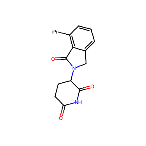 CC(C)c1cccc2c1C(=O)N(C1CCC(=O)NC1=O)C2